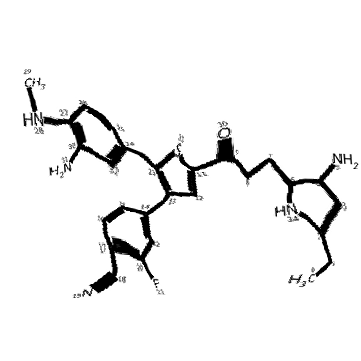 CCC1CC(N)C(CCC(=O)c2cc(-c3ccc(C#N)c(F)c3)c(-c3ccc(NC)c(N)c3)s2)N1